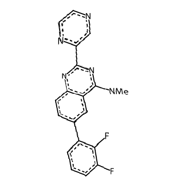 CNc1nc(-c2cnccn2)nc2ccc(-c3cccc(F)c3F)cc12